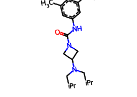 Cc1cc(C)cc(NC(=O)N2CC(N(CC(C)C)CC(C)C)C2)c1